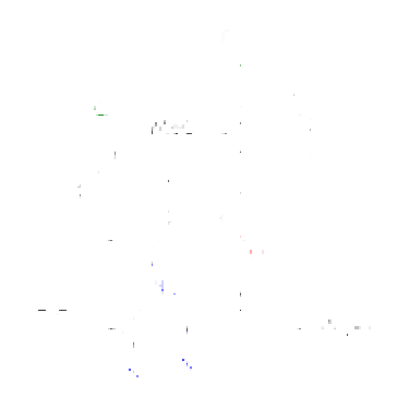 CCOC(=O)CC1OC(c2cccc(F)c2OC)c2cc(Cl)ccc2-n2c1nnc2C(F)(F)F